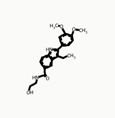 CCc1c(-c2ccc(OC)c(OC)c2)[nH]c2ccc(C(=O)NCCO)cc12